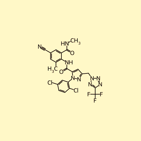 CNC(=O)c1cc(C#N)cc(C)c1NC(=O)c1cc(Cn2nnc(C(F)(F)F)n2)nn1-c1cc(Cl)ccc1Cl